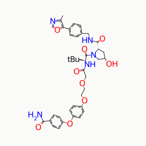 Cc1ncoc1-c1ccc(CNC(=O)[C@@H]2C[C@@H](O)CN2C(=O)[C@@H](NC(=O)COCCOc2ccc(Oc3ccc(C(N)=O)cc3)cc2)C(C)(C)C)cc1